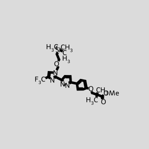 COC(=O)C(C)(C)COc1ccc(-c2ccc(-c3nc(C(F)(F)F)cn3COCC[Si](C)(C)C)nn2)cc1